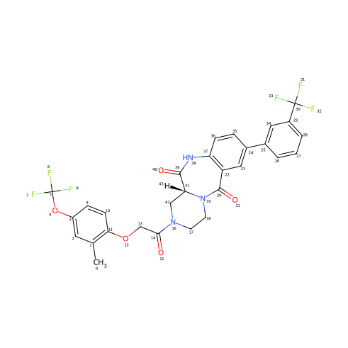 Cc1cc(OC(F)(F)F)ccc1OCC(=O)N1CCN2C(=O)c3cc(-c4cccc(C(F)(F)F)c4)ccc3NC(=O)[C@H]2C1